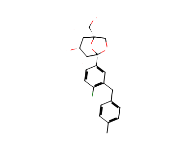 Cc1ccc(Cc2cc([C@]34OC[C@](CO)(O3)[C@@H](O)[C@H](O)[C@H]4O)ccc2Cl)cc1